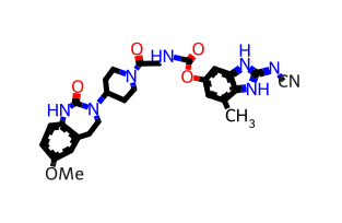 COc1ccc2c(c1)CCN(C1CCN(C(=O)CNC(=O)Oc3cc(C)c4[nH]c(=NC#N)[nH]c4c3)CC1)C(=O)N2